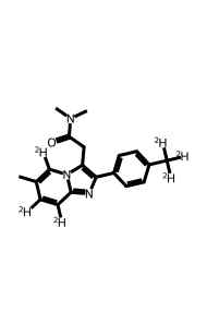 [2H]c1c(C)c([2H])n2c(CC(=O)N(C)C)c(-c3ccc(C([2H])([2H])[2H])cc3)nc2c1[2H]